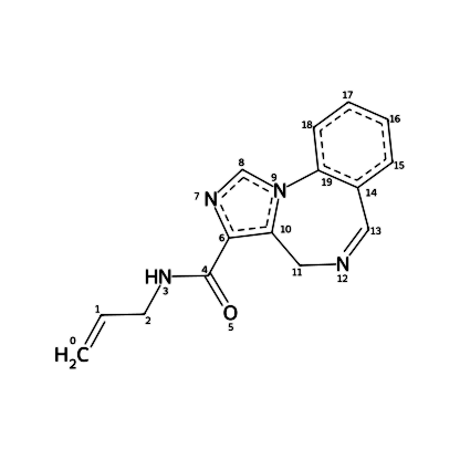 C=CCNC(=O)c1ncn2c1CN=Cc1ccccc1-2